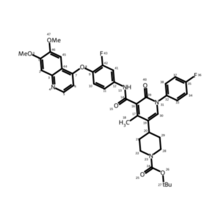 COc1cc2nccc(Oc3ccc(NC(=O)c4c(C)c(C5CCN(C(=O)OC(C)(C)C)CC5)cn(-c5ccc(F)cc5)c4=O)cc3F)c2cc1OC